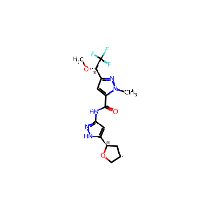 CO[C@@H](c1cc(C(=O)Nc2cc([C@H]3C[CH]CO3)[nH]n2)n(C)n1)C(F)(F)F